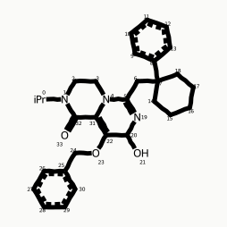 CC(C)N1CCN2C(CC3(c4ccccc4)CCCCC3)=NC(O)C(OCc3ccccc3)=C2C1=O